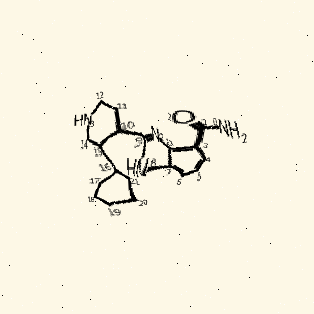 NC(=O)c1cccc2[nH]c(C3CCNCC3C3CCCCC3)nc12